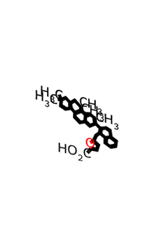 Cc1cc2c3c(ccc2cc1-c1ccc2ccccc2c1Cc1ccc(C(=O)O)o1)C1=C(CC(C)(C)C=C1)CC3(C)C